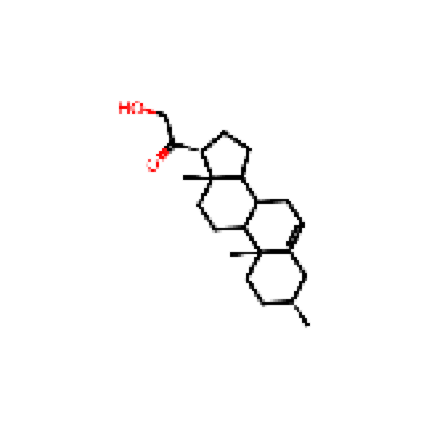 C[C@H]1CC[C@@]2(C)C(=CCC3C2CC[C@@]2(C)C3CC[C@@H]2C(=O)CO)C1